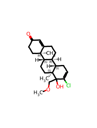 COCC1(O)C(Cl)=CC[C@H]2[C@@H]3CCC4=CC(=O)CC[C@]4(C)[C@H]3CC[C@@]21C